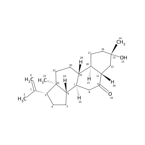 C=C(C)[C@H]1CC[C@H]2[C@@H]3CC(=O)[C@H]4C[C@@](C)(O)CC[C@@H]4[C@H]3CC[C@]12C